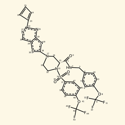 O=C(NCc1ccc(OC(F)(F)F)cc1)[C@H]1CN(c2nc3nc(C4=CC=C4)ncc3s2)CCN1S(=O)(=O)c1ccc(OC(F)(F)F)cc1